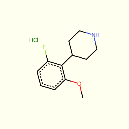 COc1cccc(F)c1C1CCNCC1.Cl